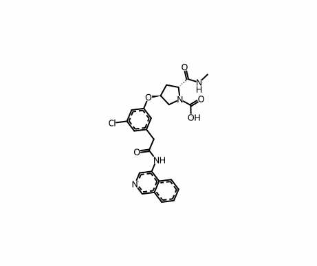 CNC(=O)[C@H]1C[C@H](Oc2cc(Cl)cc(CC(=O)Nc3cncc4ccccc34)c2)CN1C(=O)O